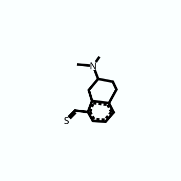 CN(C)C1CCc2cccc(C=S)c2C1